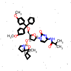 COc1ccc(C(OC[C@H]2O[C@@H](n3ccc(NC(=O)C(C)C)nc3=O)C[C@@H]2O[P@@]2O[C@](C)(C3CCC3)[C@@H]3CCCN32)(c2ccccc2)c2ccc(OC)cc2)cc1